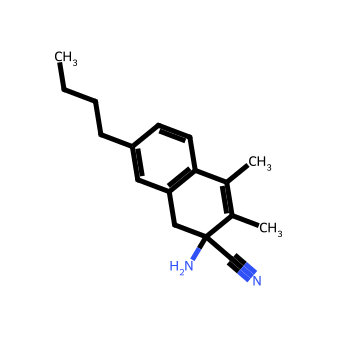 CCCCc1ccc2c(c1)CC(N)(C#N)C(C)=C2C